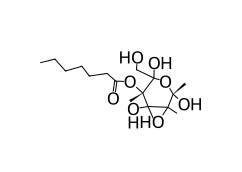 CCCCCCC(=O)O[C@]1(C)C(O)(CO)O[C@](C)(O)C(C)(O)C1(C)O